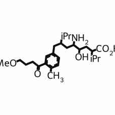 COCCCC(=O)c1cc(CC(CC(N)C(O)CC(C(=O)O)C(C)C)C(C)C)ccc1C